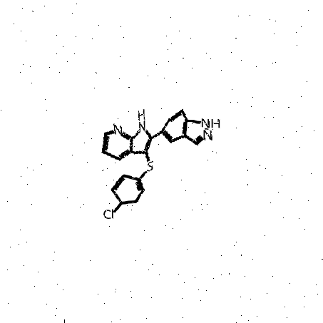 ClC1C=CC(Sc2c(-c3ccc4[nH]ncc4c3)[nH]c3ncccc23)=CC1